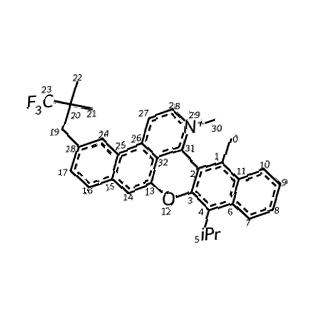 Cc1c2c(c(C(C)C)c3ccccc13)Oc1cc3ccc(CC(C)(C)C(F)(F)F)cc3c3cc[n+](C)c-2c13